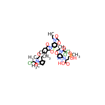 C#CCN1C(=O)COc2cc(F)c(N3C(=O)C4=C(CCCC4)C3=O)cc21.CC1COc2ccccc2N1C(=O)C(Cl)Cl.CCc1cccc(C)c1N(C(=O)CCl)C(C)COC.CP(=O)(O)CCC(N)C(=O)O